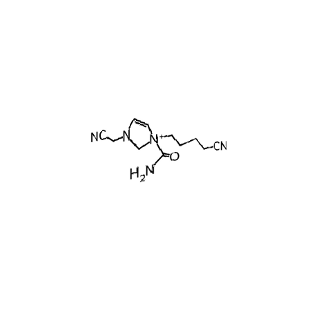 N#CCCCC[N+]1(C(N)=O)C=CN(CC#N)C1